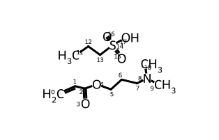 C=CC(=O)OCCCN(C)C.CCCS(=O)(=O)O